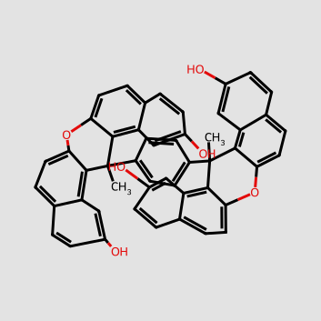 CC1(c2ccc(C3(C)c4c(ccc5ccc(O)cc45)Oc4ccc5ccc(O)cc5c43)cc2)c2c(ccc3ccc(O)cc23)Oc2ccc3ccc(O)cc3c21